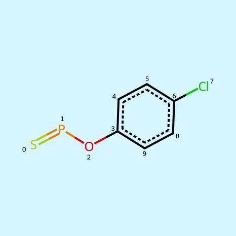 S=POc1ccc(Cl)cc1